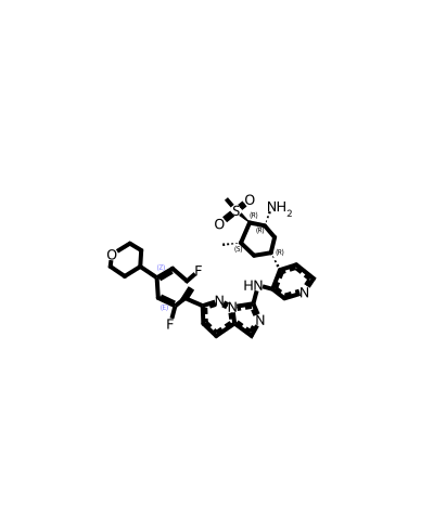 C=C(/C(F)=C\C(=C/CF)C1CCOCC1)c1ccc2cnc(Nc3cnccc3[C@H]3C[C@@H](N)[C@H](S(C)(=O)=O)[C@@H](C)C3)n2n1